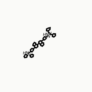 c1ccc(C2=NC(c3ccccc3)NC(c3ccc(-c4ccc(-c5ccc(-c6ccc(C7Nc8ccccc8N7c7ccccc7)cc6)c6ccccc56)c5ccccc45)cc3)=N2)cc1